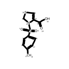 Cc1ccc(S(=O)(=O)N2CSC=C2C(=O)O)cc1